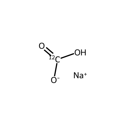 O=[12C]([O-])O.[Na+]